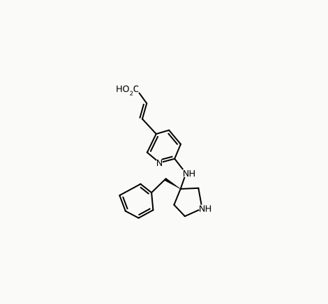 O=C(O)/C=C/c1ccc(N[C@@]2(Cc3ccccc3)CCNC2)nc1